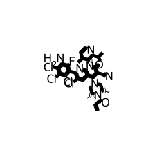 C=CC(=O)N1[C@H](C)CN(c2c(C#N)c(=O)n([C@H]3C(C(C)C)=NC=CC3C)c3nc(-c4c(F)c(N)c(Cl)c(Cl)c4Cl)c(Cl)cc23)C[C@@H]1C